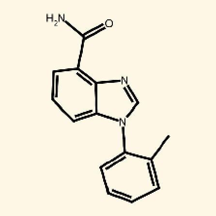 Cc1ccccc1-n1cnc2c(C(N)=O)cccc21